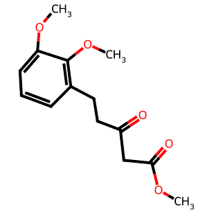 COC(=O)CC(=O)CCc1cccc(OC)c1OC